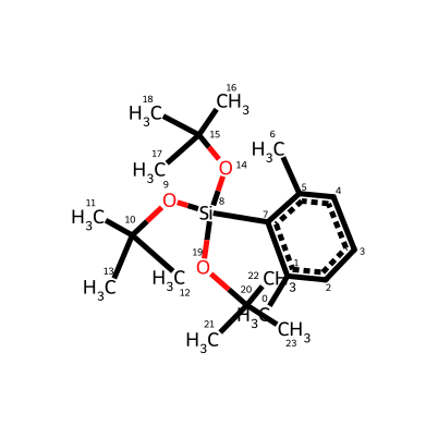 Cc1cccc(C)c1[Si](OC(C)(C)C)(OC(C)(C)C)OC(C)(C)C